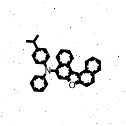 CC(C)c1ccc(N(c2ccccc2)c2cc3oc4ccc5ccccc5c4c3c3ccccc23)cc1